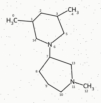 CC1CC(C)CN(C2CCCN(C)C2)C1